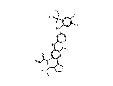 C=CC(=O)Nc1cc(Nc2ncnc(Nc3cc(Cl)c(F)cc3C(C)(O)CC)n2)c(OC)cc1N1CCCC1CN(C)C